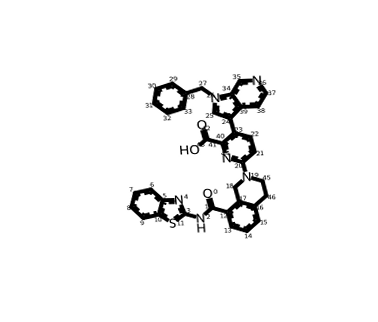 O=C(Nc1nc2ccccc2s1)c1cccc2c1CN(c1ccc(-c3cn(Cc4ccccc4)c4cnccc34)c(C(=O)O)n1)CC2